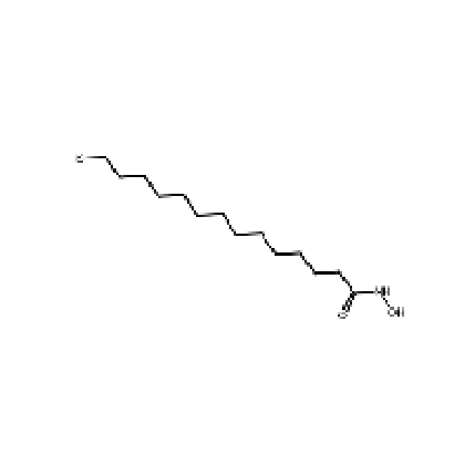 O=C(CCCCCCCCCCCCCS)NO